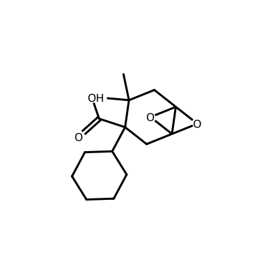 CC1(C)CC23OC2(CC1(C(=O)O)C1CCCCC1)O3